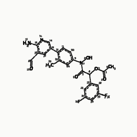 CC(=O)OC(C(=O)N(O)c1ccc(-c2cnc(N)c(C=O)c2)c(C)c1)c1cc(F)cc(F)c1